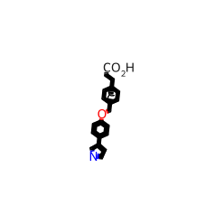 O=C(O)CCC12CCC(COc3ccc(C4=CC=NC4)cc3)(CC1)CC2